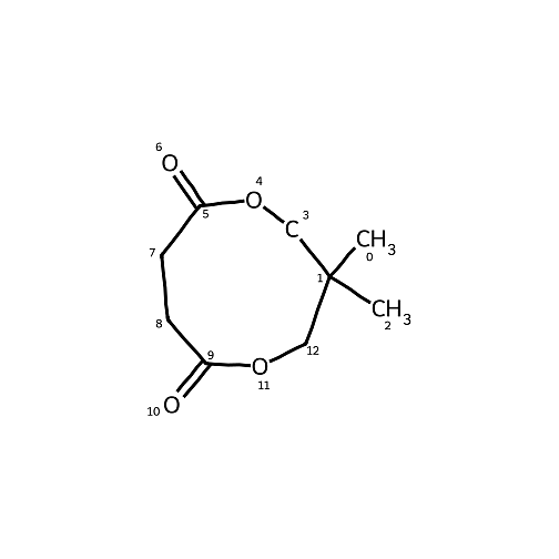 CC1(C)COC(=O)CCC(=O)OC1